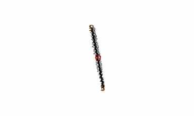 S=CCCCCCCCCCCCCCCCOCCCCCCCCCCCCCCCC=S